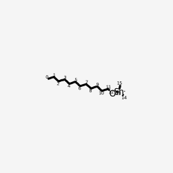 CCCCCCCCCCCC[O][Sn]([CH3])[CH3]